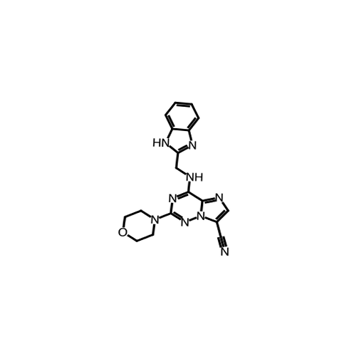 N#Cc1cnc2c(NCc3nc4ccccc4[nH]3)nc(N3CCOCC3)nn12